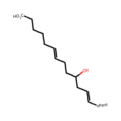 CCCCCC=CCC(O)CCC=CCCCCC(=O)O